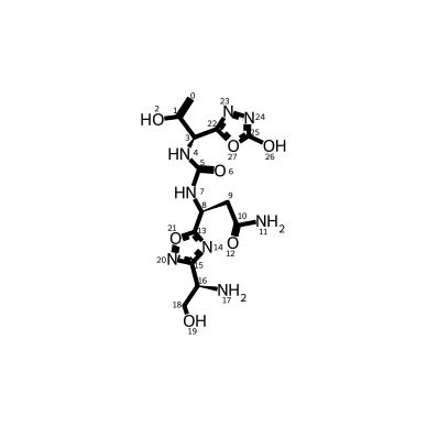 C=C(O)[C@H](NC(=O)N[C@@H](CC(N)=O)c1nc([C@@H](N)CO)no1)c1nnc(O)o1